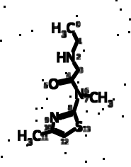 CCNCC(=O)N(C)c1nc(C)cs1